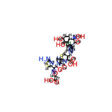 C[C@@H]1S[C@@H]2[C@H](NC(=O)/C(=N\OC(C)(C)C(=O)O)c3csc(N)n3)C(=O)N2C(C(=O)O)=C1C[N+]12CCC(CC1)N(C(=O)/C(=N\O)c1ccc(O)c(O)c1Cl)CC2